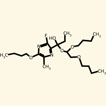 CCCCOCC(OCCCC)OC(O)(CC)c1nc(C)c(OCCCC)nc1F